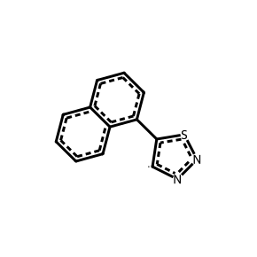 [c]1nnsc1-c1cccc2ccccc12